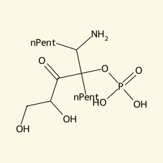 CCCCCC(N)C(CCCCC)(OP(=O)(O)O)C(=O)C(O)CO